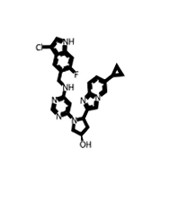 O[C@@H]1CC(c2cn3cc(C4CC4)ccc3n2)N(c2cc(NCc3cc4c(Cl)c[nH]c4cc3F)ncn2)C1